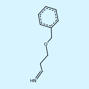 N=[C]CCOCc1ccccc1